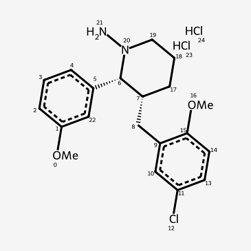 COc1cccc([C@H]2[C@@H](Cc3cc(Cl)ccc3OC)CCCN2N)c1.Cl.Cl